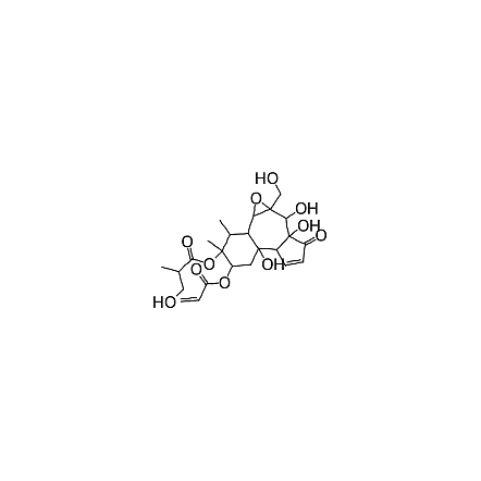 C=CC(=O)OC1CC2(O)C(C(C)C1(C)OC(=O)C(C)CO)C1OC1(CO)C(O)C1(O)C(=O)C=CC21